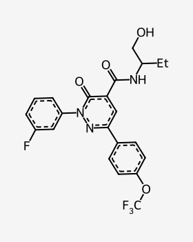 CCC(CO)NC(=O)c1cc(-c2ccc(OC(F)(F)F)cc2)nn(-c2cccc(F)c2)c1=O